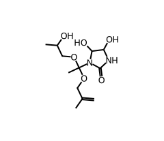 C=C(C)COC(C)(OCC(C)O)N1C(=O)NC(O)C1O